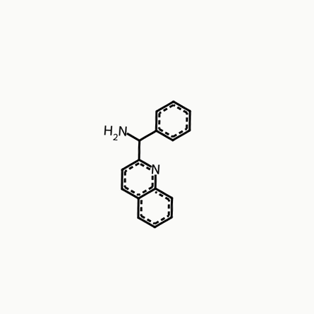 NC(c1ccccc1)c1ccc2ccccc2n1